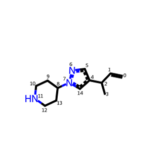 C=CC(C)c1cnn(C2CCNCC2)c1